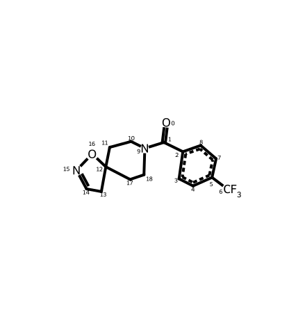 O=C(c1ccc(C(F)(F)F)cc1)N1CCC2(CC=NO2)CC1